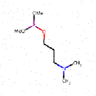 COP(OC)OCCCN(C)C